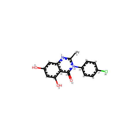 CC(C)c1nc2cc(O)cc(O)c2c(=O)n1-c1ccc(Cl)cc1